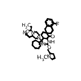 C=CC(=O)N1CCN(C2(C3CCCCCC3)NC(OCC3CCCN3C)NC3C(=O)C4(CCc5c(F)cccc5C4)CCC32)CC1CC#N